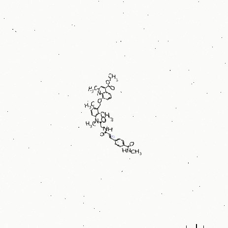 CCOC(=O)c1cc(C)nc2c(OCc3c(C)ccc(N(C)C(=O)CNC(=O)/C=C/c4ccc(C(=O)NC)cc4)c3C)cccc12